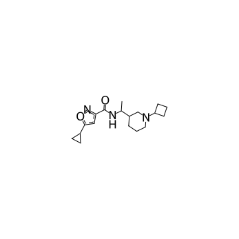 CC(NC(=O)c1cc(C2CC2)on1)C1CCCN(C2CCC2)C1